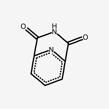 O=C1NC(=O)c2cccc1n2